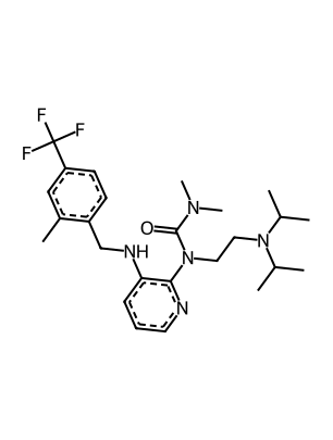 Cc1cc(C(F)(F)F)ccc1CNc1cccnc1N(CCN(C(C)C)C(C)C)C(=O)N(C)C